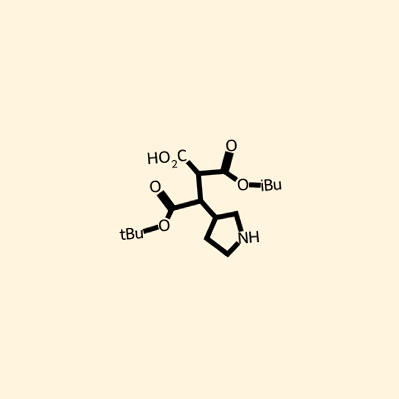 CCC(C)OC(=O)C(C(=O)O)C(C(=O)OC(C)(C)C)C1CCNC1